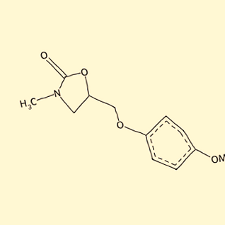 COc1ccc(OCC2CN(C)C(=O)O2)cc1